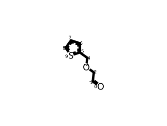 O=[C]COCc1cccs1